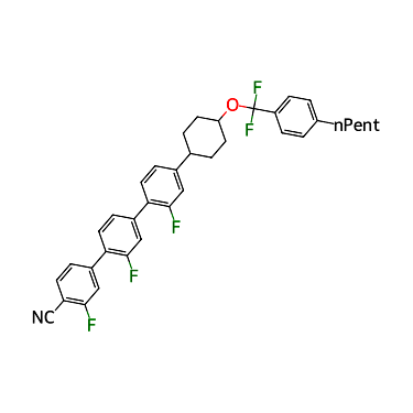 CCCCCc1ccc(C(F)(F)OC2CCC(c3ccc(-c4ccc(-c5ccc(C#N)c(F)c5)c(F)c4)c(F)c3)CC2)cc1